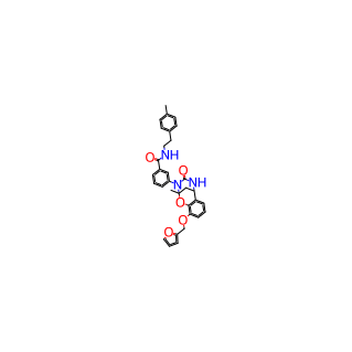 Cc1ccc(CCNC(=O)c2cccc(N3C(=O)NC4CC3(C)Oc3c(OCc5ccco5)cccc34)c2)cc1